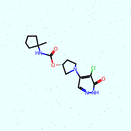 CC1(NC(=O)O[C@@H]2CCN(c3cn[nH]c(=O)c3Cl)C2)CCCC1